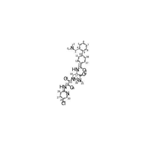 CN(C)Cc1ccccc1-c1ccc(C(=O)NC(CNC(=O)C(=O)Nc2ccc(Cl)cn2)C(=O)N(C)C)cc1